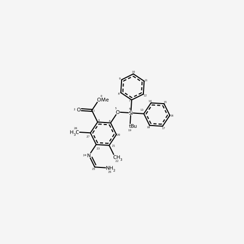 COC(=O)c1c(O[Si](c2ccccc2)(c2ccccc2)C(C)(C)C)cc(C)c(/N=C\N)c1C